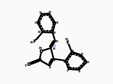 O=C1C=C(c2ccccc2F)/C(=C/c2ccccc2F)O1